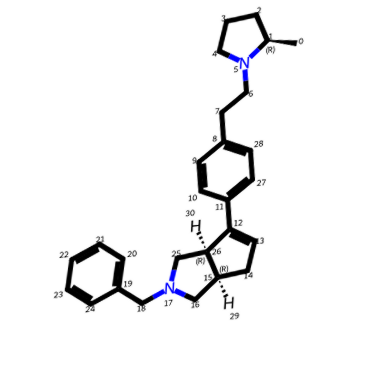 C[C@@H]1CCCN1CCc1ccc(C2=CC[C@H]3CN(Cc4ccccc4)C[C@@H]23)cc1